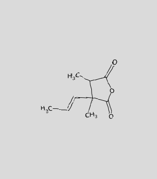 CC=CC1(C)C(=O)OC(=O)C1C